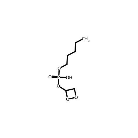 CCCCCOP(=O)(O)OC1COO1